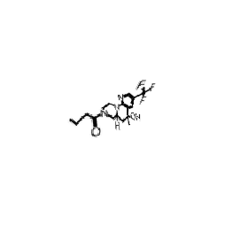 CCCC(=O)N1CCN2c3ncc(C(F)(F)F)cc3C(C)(O)C[C@@H]2C1